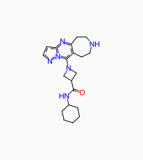 O=C(NC1CCCCC1)C1CN(c2c3c(nc4ccnn24)CCNCC3)C1